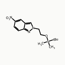 CC(C)(C)[Si](C)(C)OCCn1cc2cc([N+](=O)[O-])ccc2n1